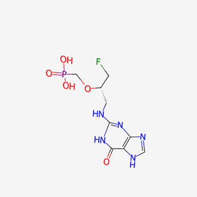 O=c1[nH]c(NC[C@@H](CF)OCP(=O)(O)O)nc2nc[nH]c12